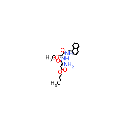 CCCCOC(=O)C[C@H](N)C(=O)N[C@@H](COC)C(=O)NCc1cccc2ccccc12